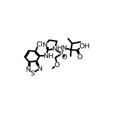 COCP(=O)(NC(C)(C(=O)O)C(C)C)N1CCN=C1Nc1c(Cl)ccc2nsnc12